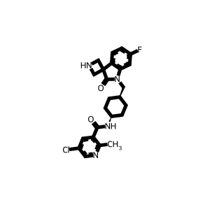 Cc1ncc(Cl)cc1C(=O)N[C@H]1CC[C@H](CN2C(=O)C3(CNC3)c3ccc(F)cc32)CC1